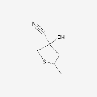 CC1CC(O)(C#N)CS1